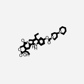 CCC1=C2Cn3c(cc4c(c3=O)COC(=O)[C@]4(O)CC)[C@H]2Nc2ccc(OC(=O)N3CCC(N4CCCCC4)CC3)cc21